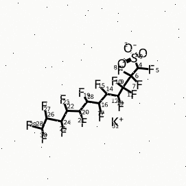 O=S(=O)([O-])C(F)C(F)(F)C(F)(F)C(F)C(F)C(F)C(F)C(F)C(F)C(F)C(F)C(F)F.[K+]